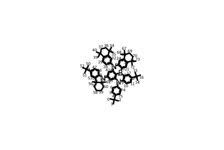 CC(C)(C)c1ccc(N2c3ccc(C(C)(C)C)cc3B3c4cc5c(cc4N(c4ccc6c(c4)C(C)(C)CCC6(C)C)c4cc(N6c7ccc(C(C)(C)C)cc7C7(C)CCCCC67C)cc2c43)C(C)(C)CCC5(C)C)cc1